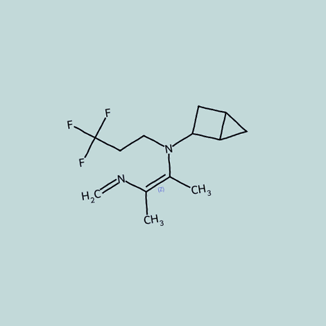 C=N/C(C)=C(/C)N(CCC(F)(F)F)C1CC2CC21